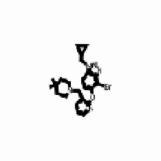 CC1(C)CCN(Cc2cccnc2Oc2ccc3c(nnn3CC3CC3)c2Br)CC1